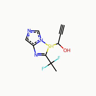 C#CC(O)[SH]1C(C(C)(F)F)=Nc2cncn21